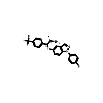 C[C@H](N)[C@@H](Oc1ccc2c(cnn2-c2ccc(F)cc2)c1)c1ccc(C(F)(F)F)cc1